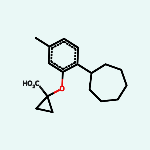 Cc1ccc(C2CCCCCC2)c(OC2(C(=O)O)CC2)c1